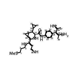 CSCCCN/C(=C\C=N)C1=C2CC2C(C2CC2)[C@@H](C(=O)Nc2ccc(/C(C(C)=N)=C(\C)N)cc2)N1